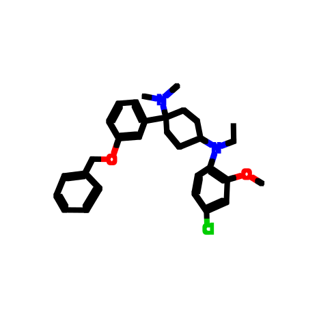 CCN(c1ccc(Cl)cc1OC)C1CCC(c2cccc(OCc3ccccc3)c2)(N(C)C)CC1